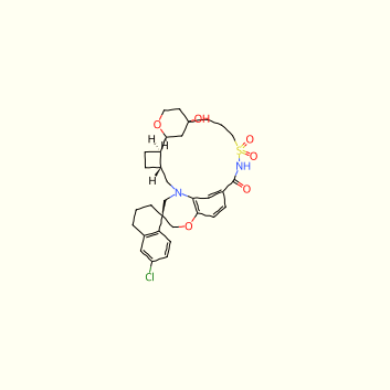 O=C1NS(=O)(=O)CCCC2(O)CCO[C@@H](C2)[C@@H]2CC[C@H]2CN2C[C@@]3(CCCc4cc(Cl)ccc43)COc3ccc1cc32